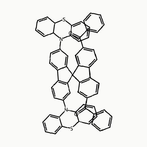 O=C(c1ccccc1)c1ccc2c(c1)C1(c3cc(C(=O)c4ccccc4)ccc3-2)c2cc(N3c4ccccc4SC4C=CC=CC43)ccc2-c2ccc(N3c4ccccc4SC4C=CC=CC43)cc21